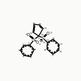 O=S(=O)(c1ccccc1)C1(S(=O)(=O)c2ccccc2)C=CC=C1